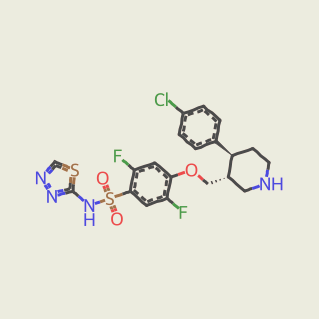 O=S(=O)(Nc1nncs1)c1cc(F)c(OC[C@H]2CNCC[C@@H]2c2ccc(Cl)cc2)cc1F